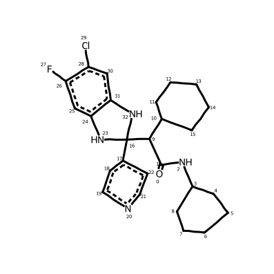 O=C(NC1CCCCC1)C(C1CCCCC1)C1(c2ccncc2)Nc2cc(F)c(Cl)cc2N1